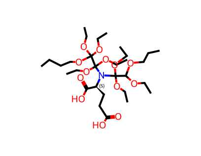 CCCCOC(OCC)(OCC)C(OCC)(OCC)N([C@@H](CCC(=O)O)C(=O)O)C(OCC)(OCC)C(OCC)OCCC